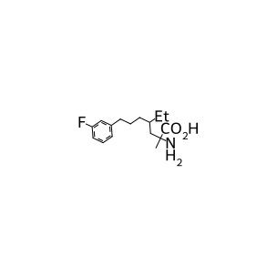 CCC(CCCc1cccc(F)c1)CC(C)(N)C(=O)O